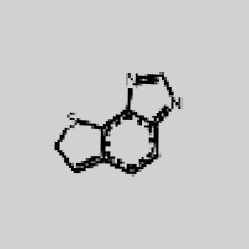 C1=Nc2c3c(ccc2=N1)=CCS3